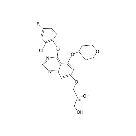 OC[C@@H](O)COc1cc(OC2CCOCC2)c2c(Oc3ccc(F)cc3Cl)ncnc2c1